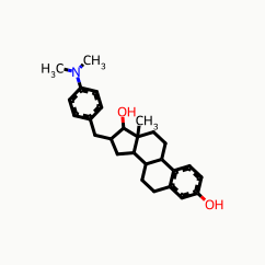 CN(C)c1ccc(CC2CC3C4CCc5cc(O)ccc5C4CCC3(C)C2O)cc1